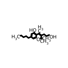 CCCCCc1cc(O)c2c(c1)OC(C)(C)C(CCCO)=C2C